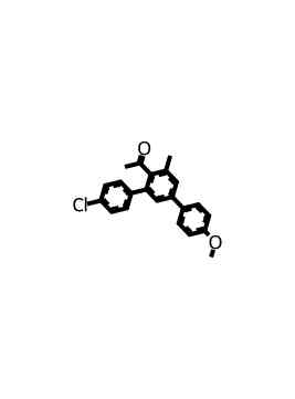 COc1ccc(-c2cc(C)c(C(C)=O)c(-c3ccc(Cl)cc3)c2)cc1